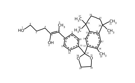 C/C(=C(/O)CCCO)c1ccc(C2(c3cc4c(cc3C)C(C)(C)CCC4(C)C)OCCO2)nc1